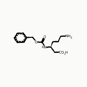 NCCC[C@@H](CC(=O)O)NC(=O)OCc1ccccc1